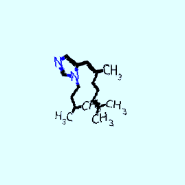 CC(C)=CCCC(C)=Cc1cncn1CCC(C)C